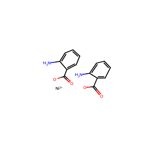 Nc1ccccc1C(=O)[O-].Nc1ccccc1C(=O)[O-].[Ni+2]